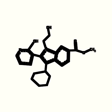 COC(=O)c1ccc2c(C3CCCCC3)c(-c3cccnc3O)n(CCO)c2c1